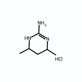 CC1CC(C)NC(N)=N1.Cl